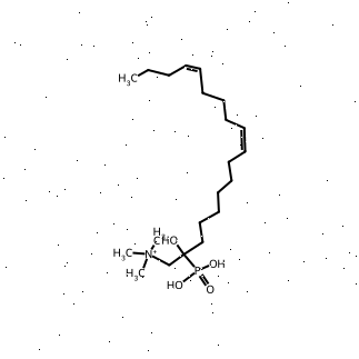 CCC/C=C\CCC/C=C\CCCCCCC(O)(C[N+](C)(C)C)P(=O)(O)O